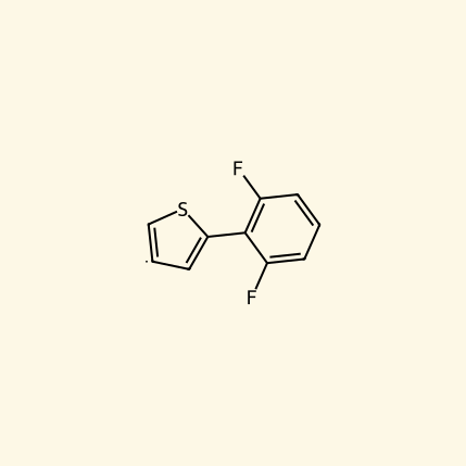 Fc1cccc(F)c1-c1c[c]cs1